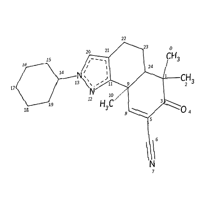 CC1(C)C(=O)C(C#N)=CC2(C)c3nn(C4CCCCC4)cc3CCC12